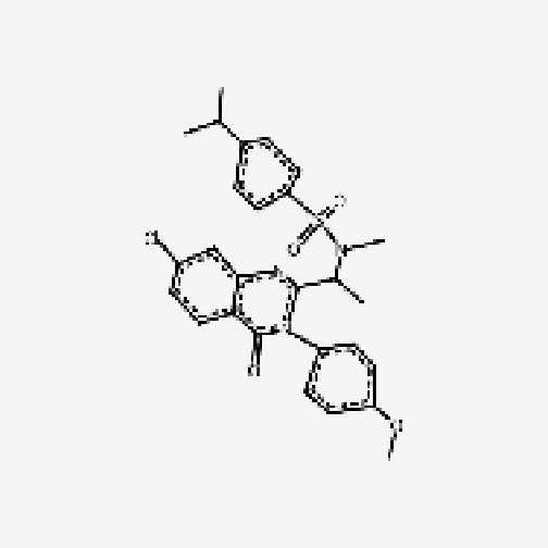 COc1ccc(-n2c(C(C)N(C)S(=O)(=O)c3ccc(C(C)C)cc3)nc3cc(Cl)ccc3c2=O)cc1